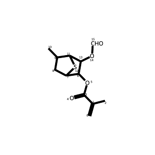 C=C(C)C(=O)OC1C2CC(C)C(S2)C1OC=O